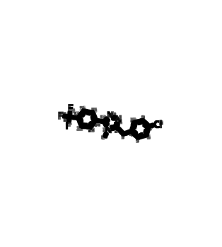 Cn1c(Cc2ccc(Cl)cc2)nnc1-c1ccc(C(F)(F)F)cc1